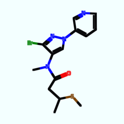 CSC(C)CC(=O)N(C)c1cn(-c2cccnc2)nc1Br